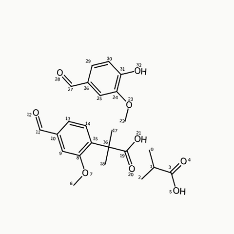 CC(C)C(=O)O.COc1cc(C=O)ccc1C(C)(C)C(=O)O.COc1cc(C=O)ccc1O